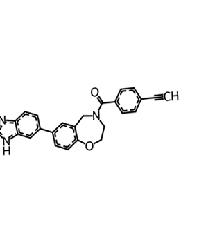 C#Cc1ccc(C(=O)N2CCOc3ccc(-c4ccc5nc[nH]c5c4)cc3C2)cc1